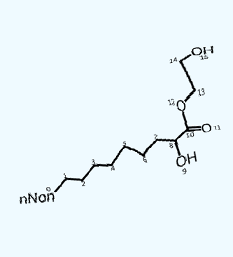 CCCCCCCCCCCCCCCCC(O)C(=O)OCCO